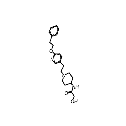 O=C(CO)NC1CCN(CCc2ccc(OCCc3ccccc3)nc2)CC1